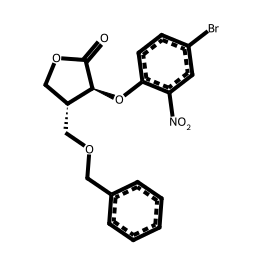 O=C1OC[C@@H](COCc2ccccc2)[C@@H]1Oc1ccc(Br)cc1[N+](=O)[O-]